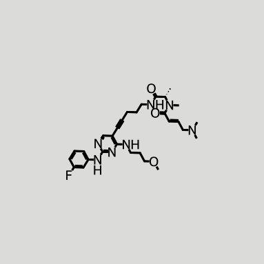 COCCCNc1nc(Nc2cccc(F)c2)ncc1C#CCCCNC(=O)[C@H](C)N(C)C(=O)/C=C/CN(C)C